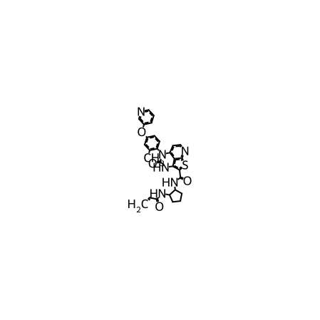 C=CC(=O)NC1CCCC1NC(=O)c1sc2nccc3c2c1NC(=O)N3c1ccc(Oc2cccnc2)cc1C